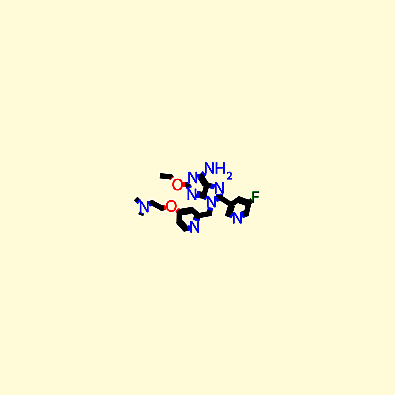 CCOc1nc(N)c2nc(-c3cncc(F)c3)n(Cc3cc(OCCN(C)C)ccn3)c2n1